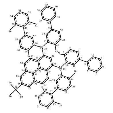 Cc1ccc(-c2ccccc2)cc1N(c1cc(-c2c(C)cccc2C)ccc1C)c1cc(N(c2cc(-c3ccccc3)ccc2C)c2cc(-c3c(C)cccc3C)ccc2C)c2ccc3cc(C(C)(C)C)cc4ccc1c2c43